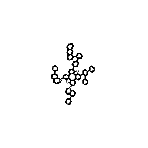 C1=CC2C(=CC=CN2c2ccc3c4ccc(-c5ccc(-c6ccccc6)cc5-c5ccccc5)c5oc6c(-c7ccc(-c8ccccc8-c8cccc9cc%10ccccc%10cc89)cc7)ccc(c7ccc(N8C=CC=C9C=CC(c%10ccccc%10)=CC98)c8oc2c3c87)c6c54)C(c2ccccc2)=C1